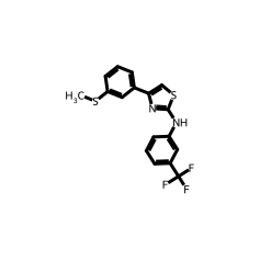 CSc1cccc(-c2csc(Nc3cccc(C(F)(F)F)c3)n2)c1